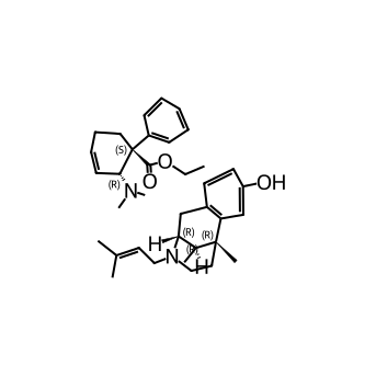 CC(C)=CCN1CC[C@@]2(C)c3cc(O)ccc3C[C@@H]1[C@@H]2C.CCOC(=O)[C@]1(c2ccccc2)CCC=C[C@H]1N(C)C